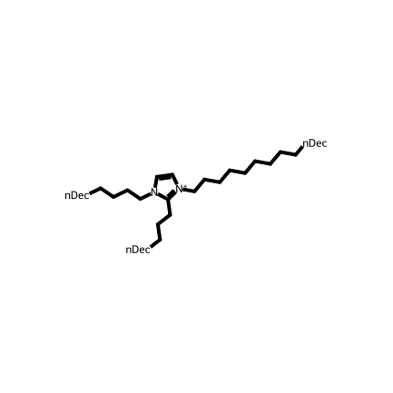 CCCCCCCCCCCCCCCCCCC[n+]1ccn(CCCCCCCCCCCCCC)c1CCCCCCCCCCCCC